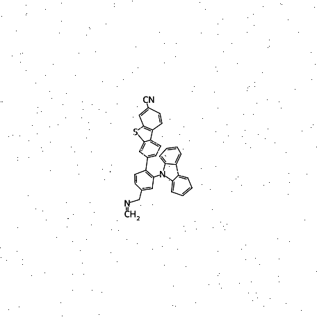 C=NCc1ccc(-c2ccc3c(c2)sc2cc(C#N)ccc23)c(-n2c3ccccc3c3ccccc32)c1